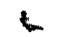 COc1ccc(CNC(=O)c2ccc(CNC(=O)Cc3ccc(CC(C)NC[C@H](O)c4ccc(-n5c(C)ccc5C)nc4)cc3)cc2)cc1OC